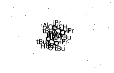 CC(C)c1cc2c(c(C(C)(C)C)c1)OP(=O)(O)Oc1c(cc(C(C)C)cc1C(C)(C)C)C2C.CC(C)c1cc2c(c(C(C)(C)C)c1)OP(=O)(O)Oc1c(cc(C(C)C)cc1C(C)(C)C)C2C.[OH][Al]